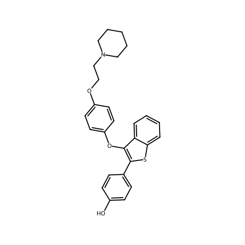 Oc1ccc(-c2sc3ccccc3c2Oc2ccc(OCCN3CCCCC3)cc2)cc1